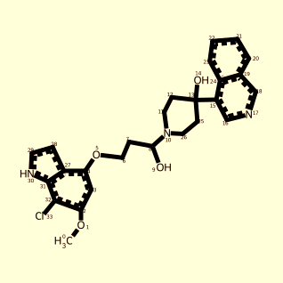 COc1cc(OCCC(O)N2CCC(O)(c3cncc4ccccc34)CC2)c2cc[nH]c2c1Cl